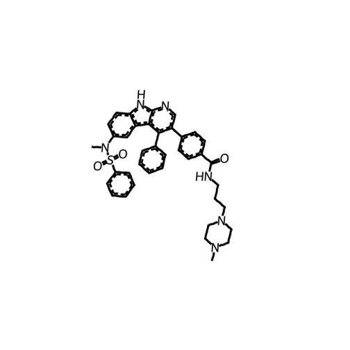 CN1CCN(CCCNC(=O)c2ccc(-c3cnc4[nH]c5ccc(N(C)S(=O)(=O)c6ccccc6)cc5c4c3-c3ccccc3)cc2)CC1